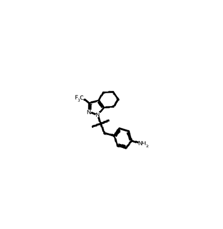 CC(C)(Cc1ccc(N)cc1)n1nc(C(F)(F)F)c2c1CCCC2